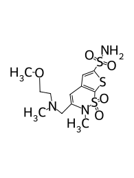 COCCN(C)CC1=Cc2cc(S(N)(=O)=O)sc2S(=O)(=O)N1C